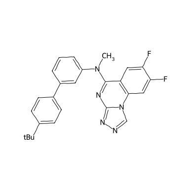 CN(c1cccc(-c2ccc(C(C)(C)C)cc2)c1)c1nc2nncn2c2cc(F)c(F)cc12